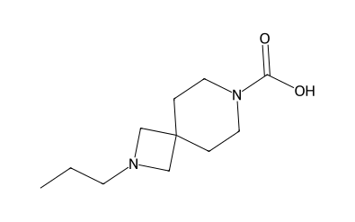 CCCN1CC2(CCN(C(=O)O)CC2)C1